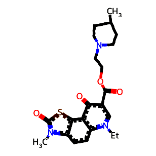 CCn1cc(C(=O)OCCN2CCC(C)CC2)c(=O)c2c3sc(=O)n(C)c3ccc21